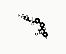 CNC(=O)c1c(-c2ccc(F)cc2)oc2ccc(-c3cccc(C(=O)NCc4cnc(C)cn4)c3)cc12